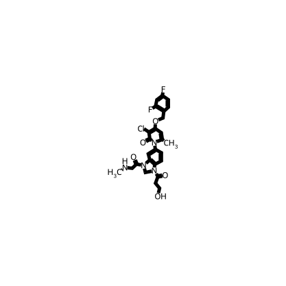 CNCC(=O)N1CN(C(=O)CCO)c2ccc(-n3c(C)cc(OCc4ccc(F)cc4F)c(Cl)c3=O)cc21